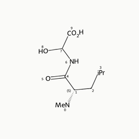 CN[C@@H](CC(C)C)C(=O)NC(O)C(=O)O